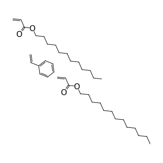 C=CC(=O)OCCCCCCCCCCCC.C=CC(=O)OCCCCCCCCCCCCC.C=Cc1ccccc1